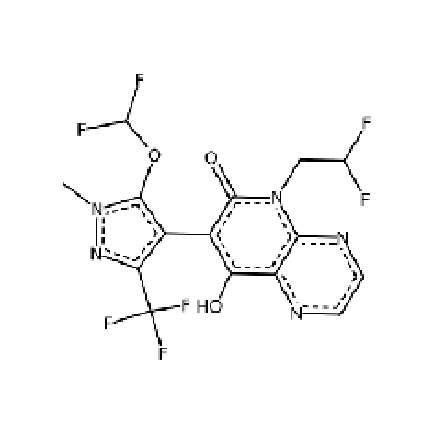 Cn1nc(C(F)(F)F)c(-c2c(O)c3nccnc3n(CC(F)F)c2=O)c1OC(F)F